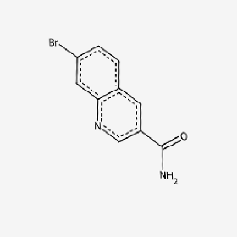 NC(=O)c1cnc2cc(Br)ccc2c1